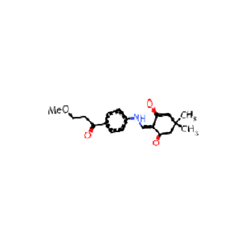 COCCC(=O)c1ccc(NC=C2C(=O)CC(C)(C)CC2=O)cc1